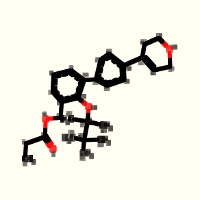 CCC(=O)OCc1cccc(-c2ccc(C3=CCOCC3)cc2)c1O[Si](C)(C)C(C)(C)C